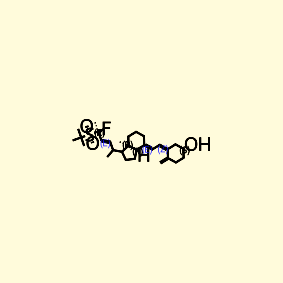 C=C1CC[C@H](O)C/C1=C/C=C1\CCC[C@]2(C)C(C(C)/C=C/[C@](C)(F)S(=O)(=O)C(C)(C)C)CC[C@@H]12